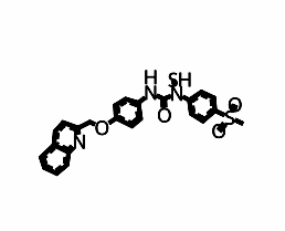 CS(=O)(=O)c1ccc(N(S)C(=O)Nc2ccc(OCc3ccc4ccccc4n3)cc2)cc1